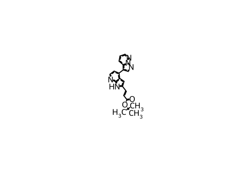 CC(C)(C)OC(=O)/C=C/c1cc2c(-c3cnn4ncccc34)ccnc2[nH]1